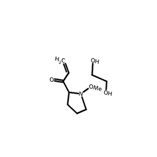 C=CC(=O)C1CCCN1OC.OCCO